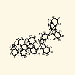 C[Si]1(C)c2ccccc2Oc2c1cccc2[Si](c1ccccc1)(c1ccccc1)c1cccc(-n2c3ccccc3n3c4cc(-n5c6ccccc6n6c7ccccc7nc56)ccc4nc23)c1